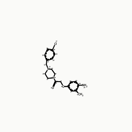 Cc1cc(OCC(=O)N2CCN(Cc3ccc(Cl)cc3)CC2)ccc1N